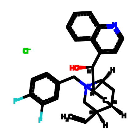 C=C[C@H]1C[N+]2(Cc3ccc(F)c(F)c3)CC[C@H]1C[C@@H]2[C@@H](O)c1ccnc2ccccc12.[Cl-]